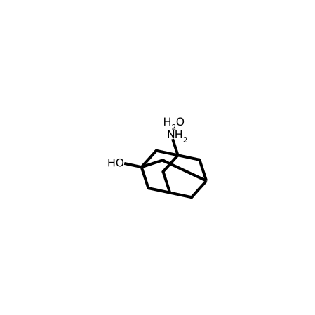 NC12CC3CC(C1)CC(O)(C3)C2.O